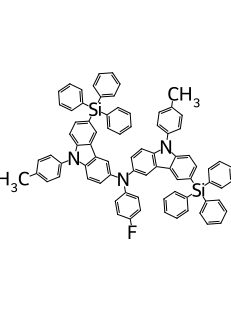 Cc1ccc(-n2c3ccc(N(c4ccc(F)cc4)c4ccc5c(c4)c4cc([Si](c6ccccc6)(c6ccccc6)c6ccccc6)ccc4n5-c4ccc(C)cc4)cc3c3cc([Si](c4ccccc4)(c4ccccc4)c4ccccc4)ccc32)cc1